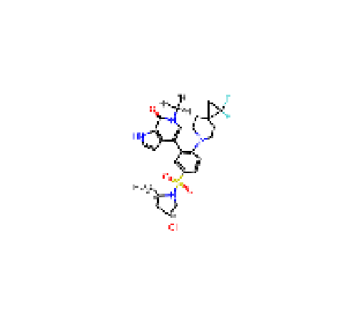 [2H]C([2H])([2H])n1cc(-c2cc(S(=O)(=O)N3C[C@H](O)C[C@H]3C(=O)O)ccc2N2CCC3(CC2)CC3(F)F)c2cc[nH]c2c1=O